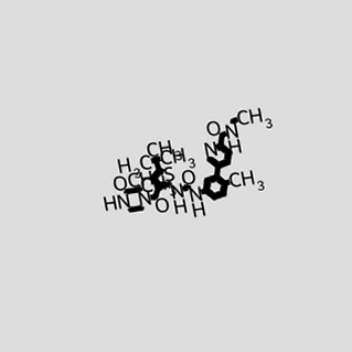 CCNC(=O)c1ccc(-c2cc(NC(=O)Nc3sc(C(C)(C)C)cc3C(=O)N3CCNC(=O)C3(C)C)ccc2C)cn1